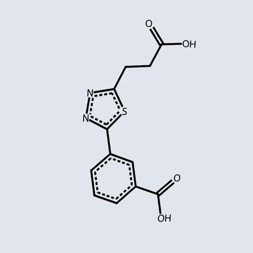 O=C(O)CCc1nnc(-c2cccc(C(=O)O)c2)s1